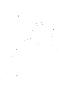 CSc1ccc(C(F)(F)F)nc1OC1CCCC1